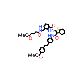 COC(=O)CCCC(=O)NCc1cccc(C(=O)Nc2sc3c(c2C(=O)Nc2ccc(CCc4ccc(C(=O)OC)cc4)cc2)CCCC3)c1